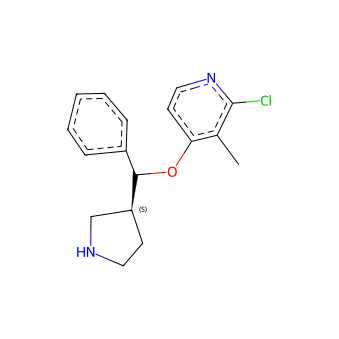 Cc1c(OC(c2ccccc2)[C@H]2CCNC2)ccnc1Cl